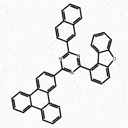 c1ccc2cc(-c3nc(-c4ccc5c6ccccc6c6ccccc6c5c4)nc(-c4cccc5oc6ccccc6c45)n3)ccc2c1